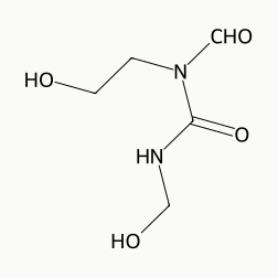 O=CN(CCO)C(=O)NCO